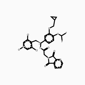 O=C(CN1C(=O)c2cccnc2C1=O)O[C@@H](Cc1c(Cl)c[n+]([O-])cc1Cl)c1ccc(OC(F)F)c(OCC2CC2)c1